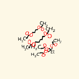 C=CC(=O)OCC(CC)(COC(=O)C=C)COC(=O)C=C.C=CC(=O)OCCCCCCOC(=O)C=C.C=CC(=O)OCCCCOC(=O)C=C